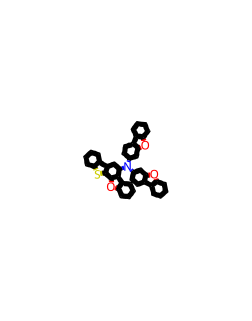 c1ccc2c(c1)oc1cc(N(c3ccc4c(c3)oc3ccccc34)c3cc4c5ccccc5sc4c4oc5ccccc5c34)ccc12